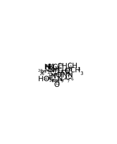 CC(C)Oc1nccc(CNC(=O)[C@@H]2C[C@@H](O)CN2C(=O)[C@@H](n2cc(C3CC3)nn2)C(C)(C)C)n1